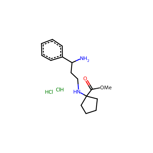 COC(=O)C1(NCCC(N)c2ccccc2)CCCC1.Cl.Cl